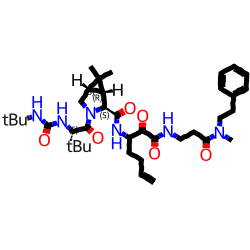 C=CCCC(NC(=O)[C@@H]1[C@@H]2[C@H](CN1C(=O)[C@@H](NC(=O)NC(C)(C)C)C(C)(C)C)C2(C)C)C(=O)C(=O)NCCC(=O)N(C)CCc1ccccc1